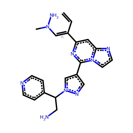 C=C/C(=C\N(C)N)c1cc2nccn2c(-c2cnn(C(CN)c3ccncc3)c2)n1